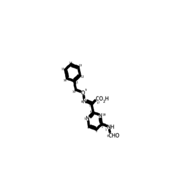 O=CNc1ccnc(C(=NOCc2ccccc2)C(=O)O)n1